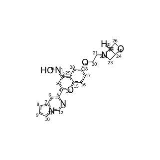 ON=c1cc(-c2cc3cccn3cn2)oc2ccc(OCCN3CC4OC[C@H]43)cc12